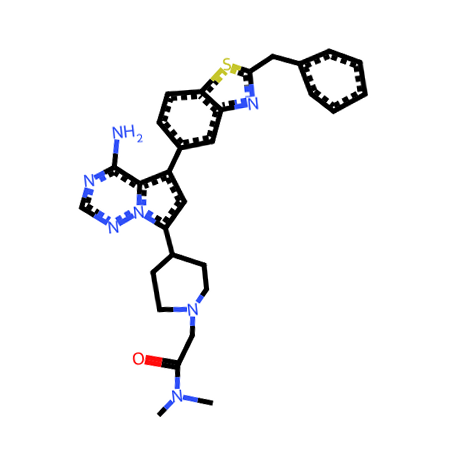 CN(C)C(=O)CN1CCC(c2cc(-c3ccc4sc(Cc5ccccc5)nc4c3)c3c(N)ncnn23)CC1